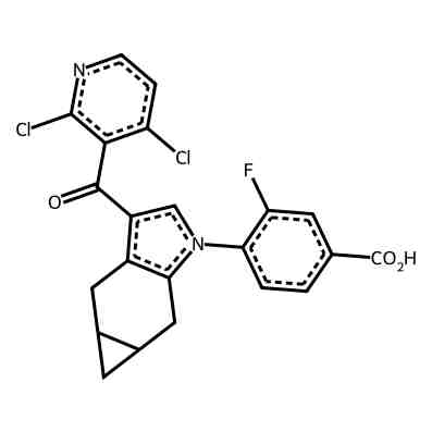 O=C(O)c1ccc(-n2cc(C(=O)c3c(Cl)ccnc3Cl)c3c2CC2CC2C3)c(F)c1